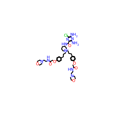 Nc1nc(N)c(C(=O)N[C@H]2CCC[N+](CCCc3ccc(OCC(=O)NCCN4CCOCC4)cc3)(CCCc3ccc(OCC(=O)NCCN4CCOCC4)cc3)C2)nc1Cl